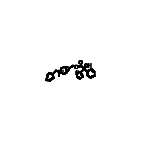 C[N+]1(Cc2ccccc2)CC2C(COC(=O)C(O)(c3ccccc3)c3cccs3)C2C1